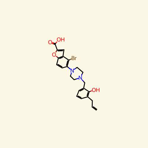 C=CCc1cccc(CN2CCN(c3ccc4oc(C(=O)O)cc4c3Br)CC2)c1O